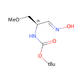 COC[C@@H](C=NO)NC(=O)OC(C)(C)C